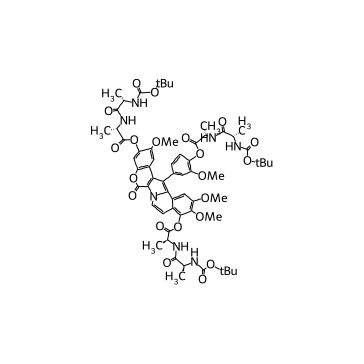 COc1cc(-c2c3c4cc(OC)c(OC(=O)[C@H](C)NC(=O)[C@H](C)NC(=O)OC(C)(C)C)cc4oc(=O)c3n3ccc4c(OC(=O)[C@H](C)NC(=O)[C@H](C)NC(=O)OC(C)(C)C)c(OC)c(OC)cc4c23)ccc1OC(=O)[C@H](C)NC(=O)[C@H](C)NC(=O)OC(C)(C)C